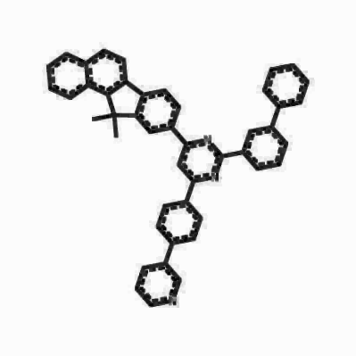 CC1(C)c2cc(-c3cc(-c4ccc(-c5cccnc5)cc4)nc(-c4cccc(-c5ccccc5)c4)n3)ccc2-c2ccc3ccccc3c21